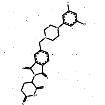 O=C1CCC(N2C(=O)c3ccc(CN4CCN(c5cc(Cl)cc(Cl)c5)CC4)cc3C2=O)C(=O)N1